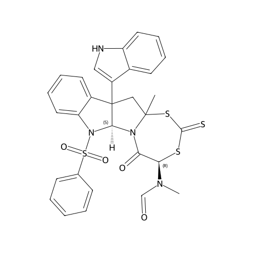 CN(C=O)[C@@H]1SC(=S)SC2(C)CC3(c4c[nH]c5ccccc45)c4ccccc4N(S(=O)(=O)c4ccccc4)[C@@H]3N2C1=O